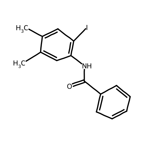 Cc1cc(I)c(NC(=O)c2ccccc2)cc1C